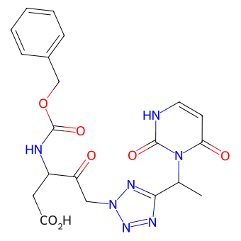 CC(c1nnn(CC(=O)C(CC(=O)O)NC(=O)OCc2ccccc2)n1)n1c(=O)cc[nH]c1=O